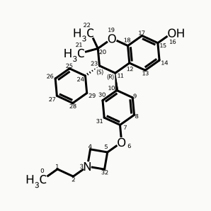 CCCN1CC(Oc2ccc([C@@H]3c4ccc(O)cc4OC(C)(C)[C@H]3C3C=CC=CC3)cc2)C1